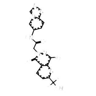 CC(C)c1nn(CC(=O)Nc2ccc3nncn3c2)c(=O)c2ccc(C(C)(F)F)nc12